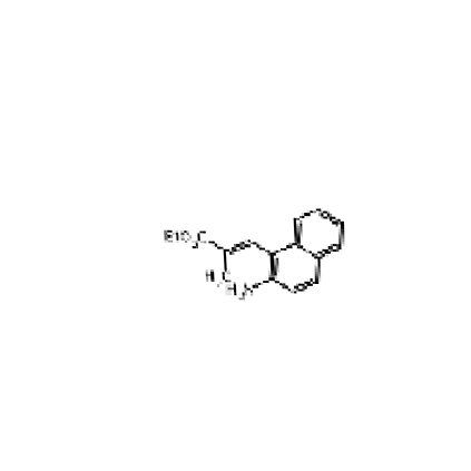 CCOC(=O)C(C)=Cc1c(N)ccc2ccccc12